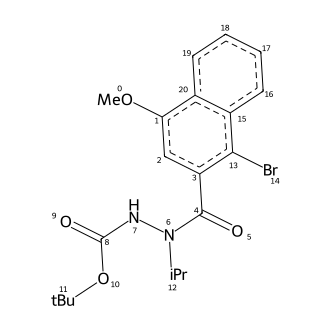 COc1cc(C(=O)N(NC(=O)OC(C)(C)C)C(C)C)c(Br)c2ccccc12